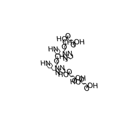 CCOCCn1c(CC2CCNCC2)nc2cccnc21.CCOCCn1c(CC2CCNCC2)nc2cccnc21.O=C(O)C=CC(=O)O.O=C(O)C=CC(=O)O.O=C(O)C=CC(=O)O